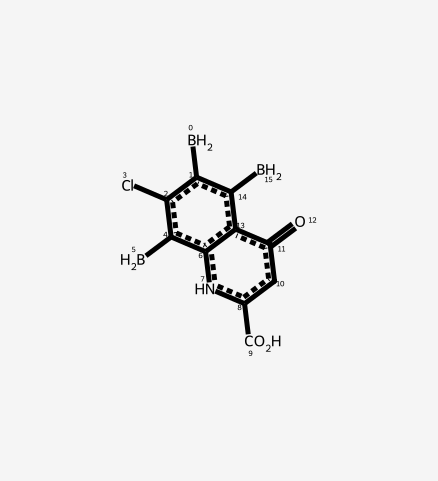 Bc1c(Cl)c(B)c2[nH]c(C(=O)O)cc(=O)c2c1B